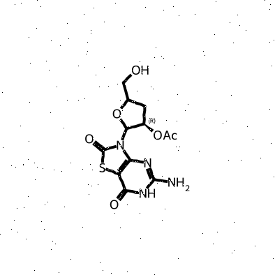 CC(=O)O[C@@H]1CC(CO)OC1n1c(=O)sc2c(=O)[nH]c(N)nc21